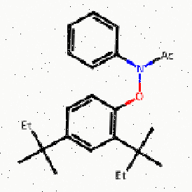 CCC(C)(C)c1ccc(ON(C(C)=O)c2c[c]ccc2)c(C(C)(C)CC)c1